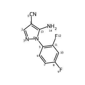 N#Cc1cnn(-c2ccc(F)cc2F)c1N